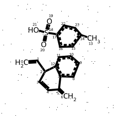 C=CC1C=CC(=C)c2ccccc21.Cc1ccc(S(=O)(=O)O)cc1